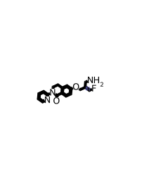 NC/C(=C\F)COc1ccc2c(c1)CCN(c1ccccn1)C2=O